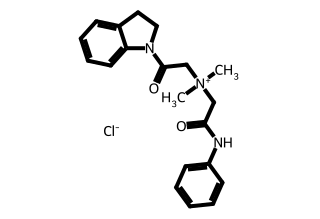 C[N+](C)(CC(=O)Nc1ccccc1)CC(=O)N1CCc2ccccc21.[Cl-]